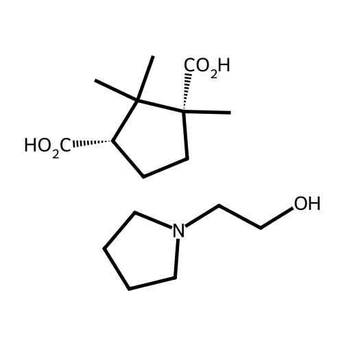 CC1(C)[C@@H](C(=O)O)CC[C@@]1(C)C(=O)O.OCCN1CCCC1